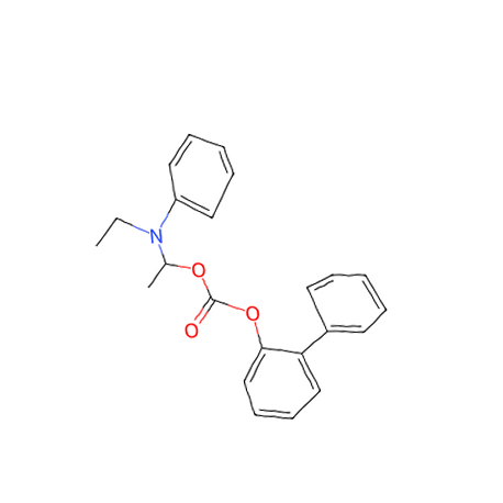 CCN(c1ccccc1)C(C)OC(=O)Oc1ccccc1-c1ccccc1